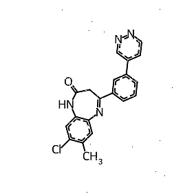 Cc1cc2c(cc1Cl)NC(=O)CC(c1cccc(-c3ccnnc3)c1)=N2